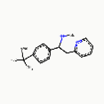 CSC(C)(C)c1ccc(C(Cc2ccccn2)NC(C)(C)C)cc1